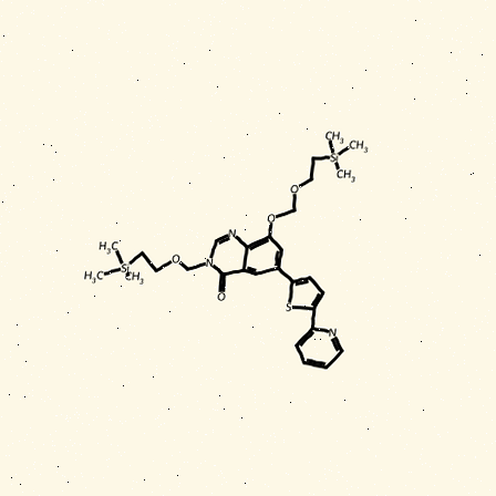 C[Si](C)(C)CCOCOc1cc(-c2ccc(-c3ccccn3)s2)cc2c(=O)n(COCC[Si](C)(C)C)cnc12